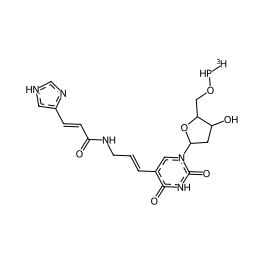 [3H]POCC1OC(n2cc(/C=C/CNC(=O)/C=C/c3c[nH]cn3)c(=O)[nH]c2=O)CC1O